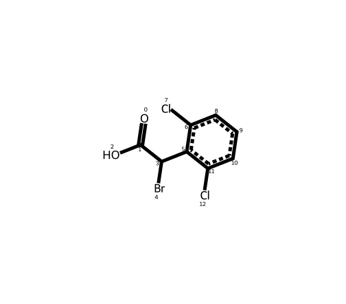 O=C(O)C(Br)c1c(Cl)cccc1Cl